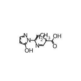 C=C(/C=N\C(=C/C)n1nccc1O)C(=O)O